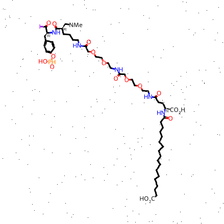 CNC[C@@H](CCCCNC(=O)COCCOCCNC(=O)COCCOCCNC(=O)CC[C@H](NC(=O)CCCCCCCCCCCCCCCCC(=O)O)C(=O)O)C(=O)N[C@@H](Cc1ccc(O[PH](=O)O)cc1)C(=O)I